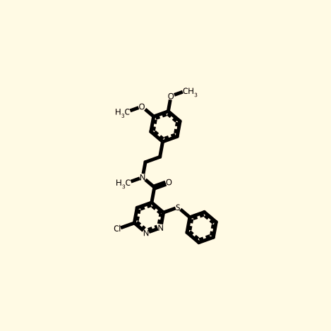 COc1ccc(CCN(C)C(=O)c2cc(Cl)nnc2Sc2ccccc2)cc1OC